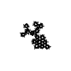 c1ccc(-c2nc(-c3ccccc3)nc(-c3ccc4c(c3)c3cc(-n5c6ccccc6c6ccccc65)ccc3n4-c3ccc(-c4c(-c5ccccc5)c(-c5ccccc5)c5c6cccc7c8ccccc8c8cccc(c5c4-c4ccccc4)c8c76)cc3)n2)cc1